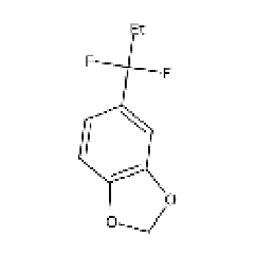 CCC(F)(F)c1ccc2c(c1)OCO2